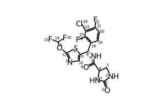 O=C1NCC(C(=O)N[C@H](c2cnc(OC(F)F)s2)c2ccc(F)c(Cl)c2F)N1